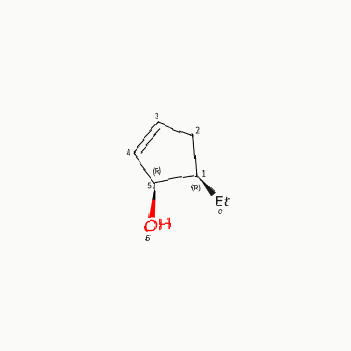 CC[C@@H]1CC=C[C@@H]1O